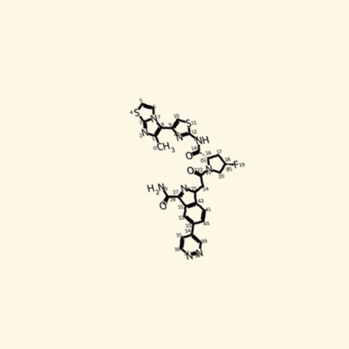 Cc1nc2sccn2c1-c1csc(NC(=O)[C@@H]2C[C@@H](F)CN2C(=O)CC2N=C(C(N)=O)c3cc(-c4ccnnc4)ccc32)n1